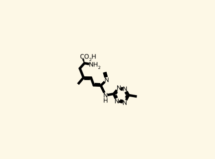 C=N/C(=C\C=C(/C)C[C@H](N)C(=O)O)Nc1nnc(C)nn1